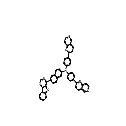 c1ccc2c(c1)sc1c(-c3ccc4cc(N(c5ccc(-c6ccc7cnccc7n6)cc5)c5ccc(-c6ccc7cnccc7n6)cc5)ccc4c3)ncnc12